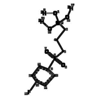 [3H]O[Si](CCCS(=O)(=O)c1ccc(F)cc1)(O[3H])O[3H]